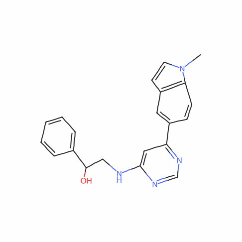 Cn1ccc2cc(-c3cc(NCC(O)c4ccccc4)ncn3)ccc21